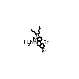 CCCCN(CCCC)c1ccc(-c2c(C)cc(OC)cc2Br)c2nc(N)n(C)c12